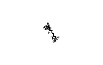 CO[Si](C=O)(CCCNCCC[Si](OC)(OC)OC)OC